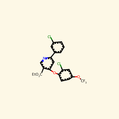 CCOC(=O)c1cnc(-c2cccc(Cl)c2)cc1Oc1ccc(OC(F)(F)F)cc1Cl